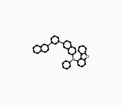 c1ccc(N(c2ccc3ccc(-c4cccc(-c5ccc6ccccc6c5)c4)cc3c2)c2cccc3oc4ccccc4c23)cc1